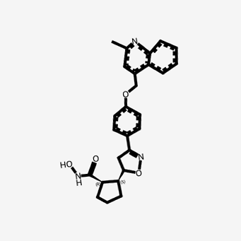 Cc1cc(COc2ccc(C3=NOC([C@H]4CCC[C@H]4C(=O)NO)C3)cc2)c2ccccc2n1